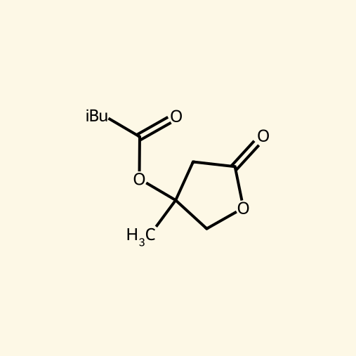 CCC(C)C(=O)OC1(C)COC(=O)C1